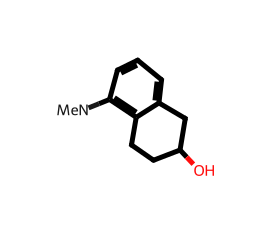 CNc1cccc2c1CCC(O)C2